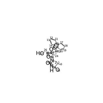 CC1CN([C@H]2C[C@H](O[Si](c3ccccc3)(c3ccccc3)C(C)(C)C)[C@@H](CO)O2)C(=O)NC1=O